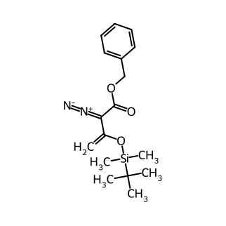 C=C(O[Si](C)(C)C(C)(C)C)C(=[N+]=[N-])C(=O)OCc1ccccc1